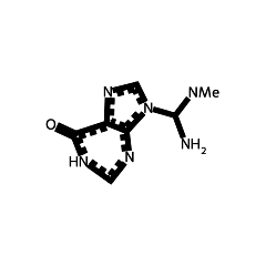 CNC(N)n1cnc2c(=O)[nH]cnc21